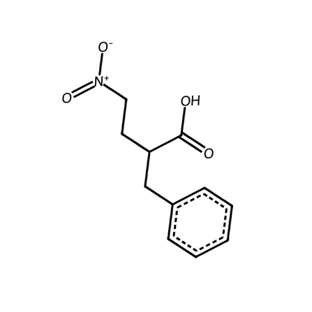 O=C(O)C(CC[N+](=O)[O-])Cc1ccccc1